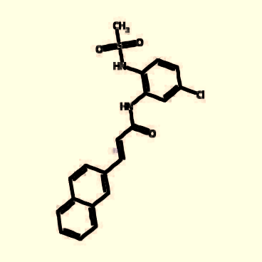 CS(=O)(=O)Nc1ccc(Cl)cc1NC(=O)/C=C/c1ccc2ccccc2c1